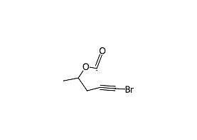 CC(CC#CBr)O[C]=O